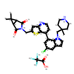 CC1(Cn2ccc3cc(Cl)cc(-c4ccnc5cc(CN6C(=O)C7C(C6=O)C7(C)C)sc45)c32)CCNCC1.O=C(O)C(F)(F)F